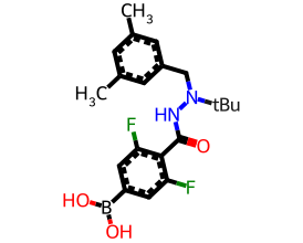 Cc1cc(C)cc(CN(NC(=O)c2c(F)cc(B(O)O)cc2F)C(C)(C)C)c1